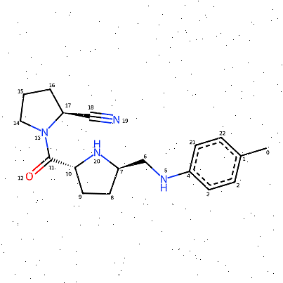 Cc1ccc(NC[C@H]2CC[C@H](C(=O)N3CCC[C@H]3C#N)N2)cc1